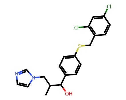 CC(Cn1ccnc1)C(O)c1ccc(SCc2ccc(Cl)cc2Cl)cc1